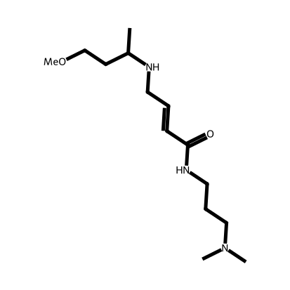 COCCC(C)NC/C=C/C(=O)NCCCN(C)C